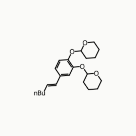 CCCCC=Cc1ccc(OC2CCCCO2)c(OC2CCCCO2)c1